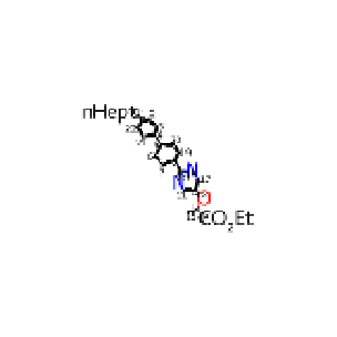 CCCCCCCc1ccc(-c2ccc(-c3ncc(O[C@@H](C)C(=O)OCC)cn3)cc2)cc1